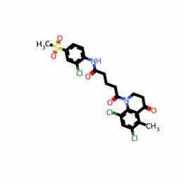 Cc1c(Cl)cc(Cl)c2c1C(=O)CCN2C(=O)CCCC(=O)Nc1ccc(S(C)(=O)=O)cc1Cl